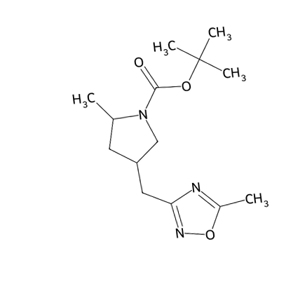 Cc1nc(CC2CC(C)N(C(=O)OC(C)(C)C)C2)no1